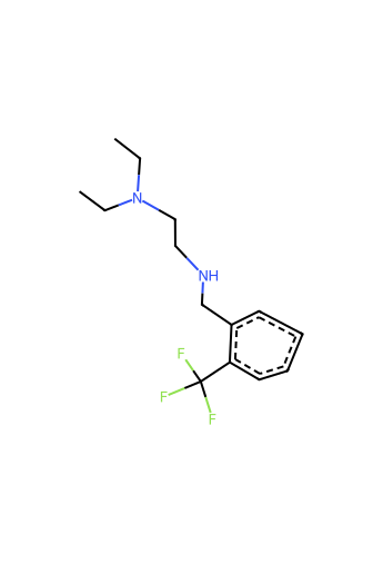 CCN(CC)CCNCc1ccccc1C(F)(F)F